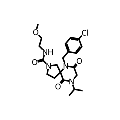 COCCNC(=O)N1CCC2(C1)C(=O)N(C(C)C)CC(=O)N2Cc1ccc(Cl)cc1